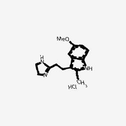 COc1ccc2[nH]c(C)c(CCC3=NCCN3)c2c1.Cl